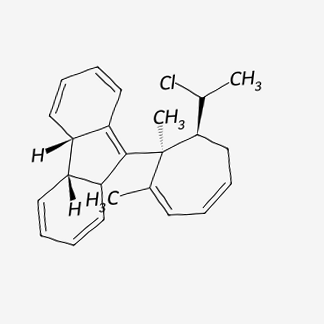 CC1=CC=CC[C@H](C(C)Cl)[C@]1(C)C1=C2C=CC=C[C@H]2[C@H]2C=CC=CC12